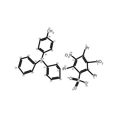 CC(C)c1c([N+](=O)[O-])c(C(C)C)c(S(=O)(=O)[O-])c(C(C)C)c1[N+](=O)[O-].Cc1ccc([S+](c2ccccc2)c2ccccc2)cc1